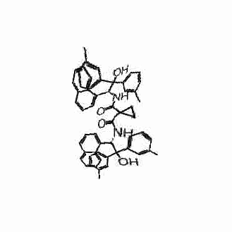 Cc1cccc(C(O)(c2cccc(C)c2)[C@@H](NC(=O)C2(C(=O)N[C@@H](c3cccc4ccccc34)C(O)(c3cccc(C)c3)c3cccc(C)c3)CC2)c2cccc3ccccc23)c1